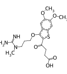 COc1cc2sc(C(=O)CCC(=O)O)c(OCCCN(C)C(=N)N)c2cc1OC